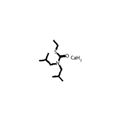 CCSC(=O)N(CC(C)C)CC(C)C.[CaH2]